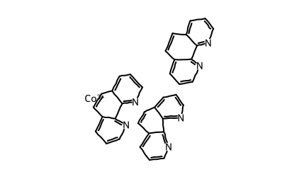 [Co+3].c1cnc2c(c1)ccc1cccnc12.c1cnc2c(c1)ccc1cccnc12.c1cnc2c(c1)ccc1cccnc12